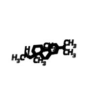 CNC[C@]1(C)CCC[C@]2(C)C3CCC(C(C)C)=CC3=CCC12